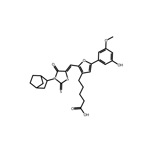 COc1cc(O)cc(-c2cc(CCCCC(=O)O)c(/C=C3\SC(=S)N(C4CC5CCC4C5)C3=O)o2)c1